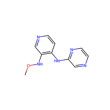 CONc1cnccc1Nc1cnccn1